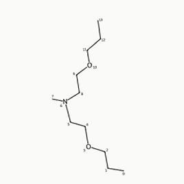 CCCOCCN(C)CCOCCC